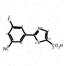 N#Cc1cc(F)cc(-c2ncc(C(=O)O)s2)c1